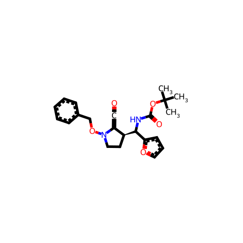 CC(C)(C)OC(=O)NC(c1ccco1)[C@H]1CCN(OCc2ccccc2)C1=C=O